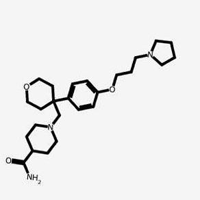 NC(=O)C1CCN(CC2(c3ccc(OCCCN4CCCC4)cc3)CCOCC2)CC1